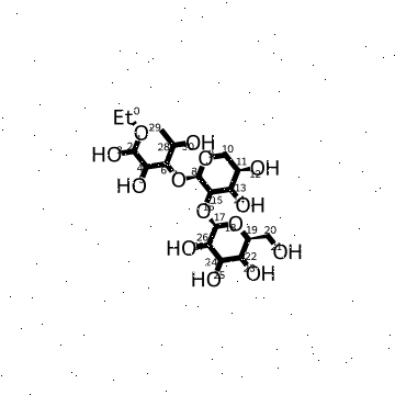 CCOC(O)C(O)C(O[C@H]1OC[C@@H](O)C(O)C1O[C@H]1O[C@@H](CO)C(O)C(O)C1O)C(C)O